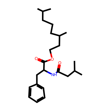 CC(C)CCCC(C)CCOC(=O)C(Cc1ccccc1)NC(=O)CC(C)C